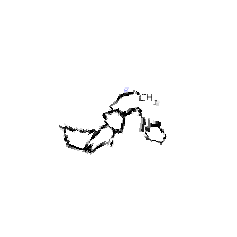 C/C=C\c1cc2c3c(cnc2cc1CN1CCCC1)CCC3